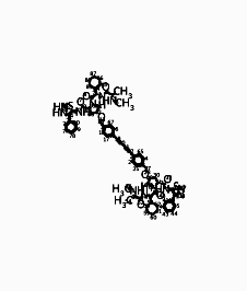 CN[C@@H](C)C(=O)N[C@H](C(=O)N1C[C@@H](OCc2ccc(C#CC#Cc3ccc(COC4C[C@@H](C(=O)Nc5snnc5-c5ccccc5)N(C(=O)[C@@H](NC(=O)[C@H](C)NC)C5CCCCC5)C4)cc3)cc2)C[C@H]1C(=O)NC1=C(c2ccccc2)NNS1)C1CCCCC1